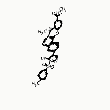 CNC(=O)c1cccc([C@@H](C)n2cnc3cc(-c4cnn(S(=O)(=O)c5ccc(C)cc5)c4Br)ccc3c2=O)c1